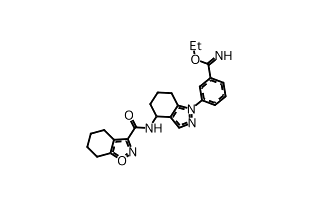 CCOC(=N)c1cccc(-n2ncc3c2CCCC3NC(=O)c2noc3c2CCCC3)c1